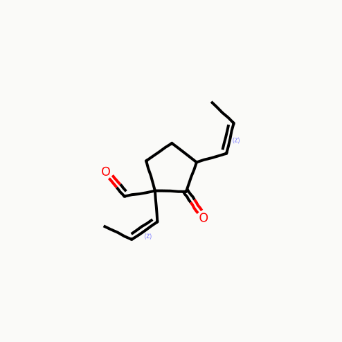 C/C=C\C1CCC(C=O)(/C=C\C)C1=O